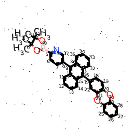 CC1(C)OB(c2ccc(-c3c4ccccc4c(-c4ccc5c(c4)Oc4ccccc4O5)c4ccccc34)cn2)OC1(C)C